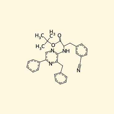 CC(C)(C)OC(=O)C(Cc1cccc(C#N)c1)Nc1ncc(-c2ccccc2)nc1Cc1ccccc1